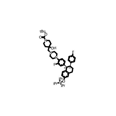 CC(C)[Si](Oc1ccc2c(c1)CC[C@H](c1ccc(F)cc1)[C@@H]2c1ccc(N2CCN(CC3(O)CCN(C(=O)OC(C)(C)C)CC3)CC2)c(F)c1)(C(C)C)C(C)C